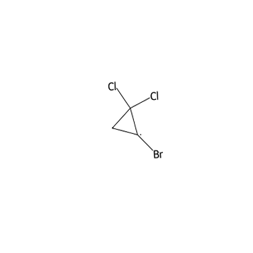 ClC1(Cl)C[C]1Br